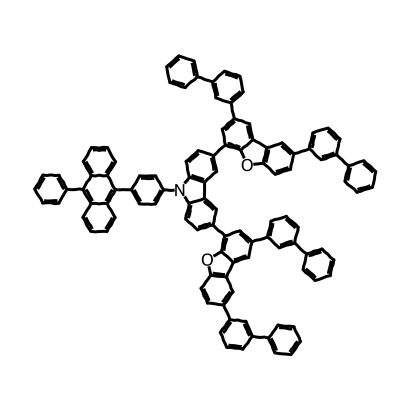 c1ccc(-c2cccc(-c3ccc4oc5c(-c6ccc7c(c6)c6cc(-c8cc(-c9cccc(-c%10ccccc%10)c9)cc9c8oc8ccc(-c%10cccc(-c%11ccccc%11)c%10)cc89)ccc6n7-c6ccc(-c7c8ccccc8c(-c8ccccc8)c8ccccc78)cc6)cc(-c6cccc(-c7ccccc7)c6)cc5c4c3)c2)cc1